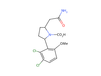 COc1ccc(Cl)c(Cl)c1C1CCC(CC(N)=O)N1C(=O)O